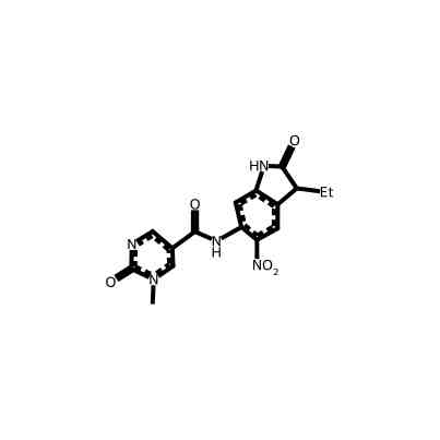 CCC1C(=O)Nc2cc(NC(=O)c3cnc(=O)n(C)c3)c([N+](=O)[O-])cc21